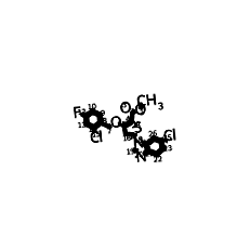 COC(=O)C1=C(OCc2ccc(F)cc2Cl)CC(n2cnc3ccc(Cl)cc32)S1